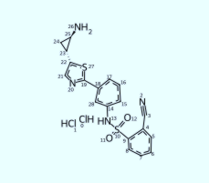 Cl.Cl.N#Cc1ccccc1S(=O)(=O)Nc1cccc(-c2ncc([C@@H]3C[C@H]3N)s2)c1